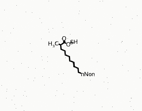 CCCCCCCCCCCCCCCCCCC(C)C(=O)OS